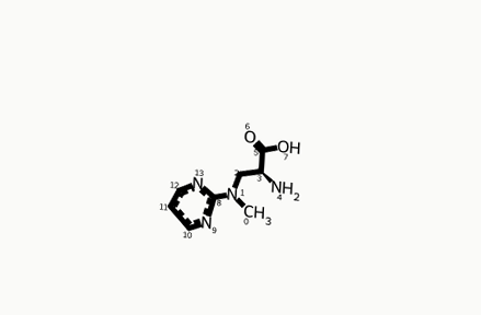 CN(C[C@H](N)C(=O)O)c1ncccn1